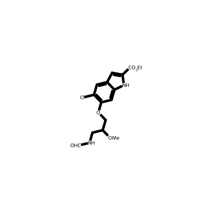 CCOC(=O)c1cc2cc(Cl)c(OCC(CNC=O)OC)cc2[nH]1